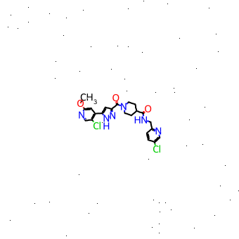 COc1cc(-c2cc(C(=O)N3CCC(C(=O)NCc4ccc(Cl)cn4)CC3)n[nH]2)c(Cl)cn1